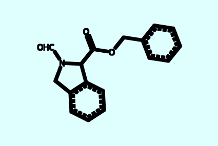 O=CN1Cc2ccccc2C1C(=O)OCc1ccccc1